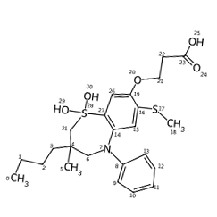 CCCCC1(C)CN(c2ccccc2)c2cc(SC)c(OCCC(=O)O)cc2S(O)(O)C1